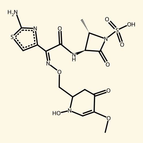 COC1=CN(O)C(CO/N=C(\C(=O)N[C@@H]2C(=O)N(S(=O)(=O)O)[C@H]2C)c2csc(N)n2)CC1=O